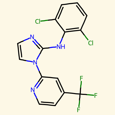 FC(F)(F)c1ccnc(-n2ccnc2Nc2c(Cl)cccc2Cl)c1